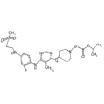 Cc1c(Nc2ccc(NCCS(C)(=O)=O)cc2F)ncnc1OC1CCN(OC(=O)OC(C)C)CC1